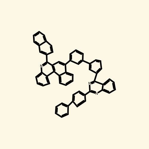 c1ccc(-c2ccc(-c3nc(-c4cccc(-c5cccc(-c6cc7c(-c8ccc9ccccc9c8)nc8ccccc8c7c7ccccc67)c5)c4)c4ccccc4n3)cc2)cc1